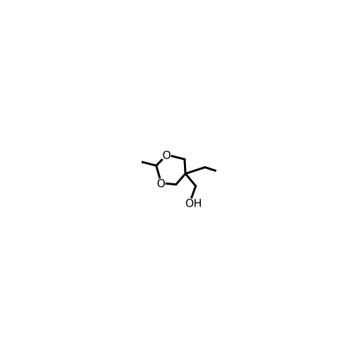 CCC1(CO)COC(C)OC1